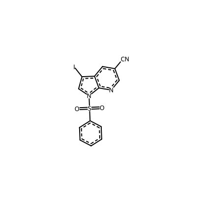 N#Cc1cnc2c(c1)c(I)cn2S(=O)(=O)c1ccccc1